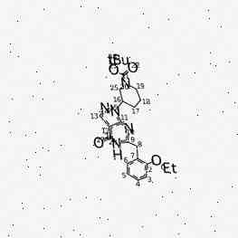 CCOc1ccccc1Cc1nc2c(cnn2C2CCCN(C(=O)OC(C)(C)C)C2)c(=O)[nH]1